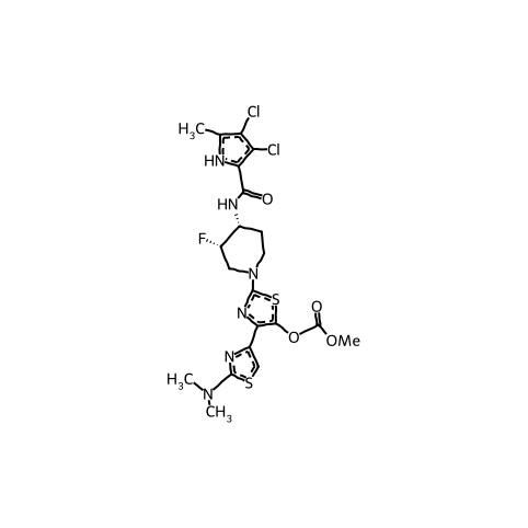 COC(=O)Oc1sc(N2CC[C@@H](NC(=O)c3[nH]c(C)c(Cl)c3Cl)[C@@H](F)C2)nc1-c1csc(N(C)C)n1